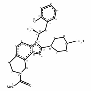 COC(=O)N1CCc2ccc3c(nc(N4CCC(C(=O)O)CC4)n3[C@@H](C)Cc3ccccc3Cl)c2C1